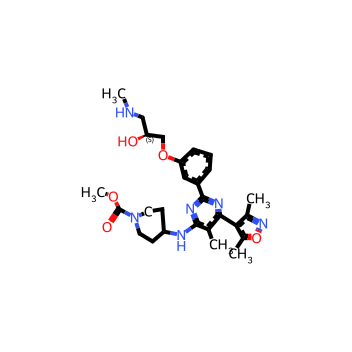 CNC[C@H](O)COc1cccc(-c2nc(NC3CCN(C(=O)OC)CC3)c(C)c(-c3c(C)noc3C)n2)c1